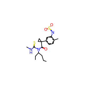 CCCC(CC)N(C(=O)C1(c2ccc(C)c(N=S(=O)=O)c2)CC1)C(=S)NC